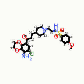 COc1ccc(S(=O)(=O)NCCN2CCC(CCC(=O)c3cc(Cl)c(N)c4c3OCCO4)CC2)cc1